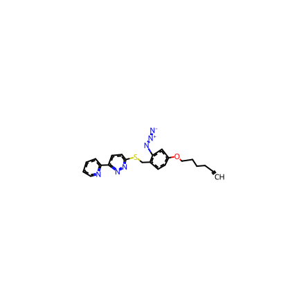 C#CCCCCOc1ccc(CSc2ccc(-c3ccccn3)nn2)c(N=[N+]=[N-])c1